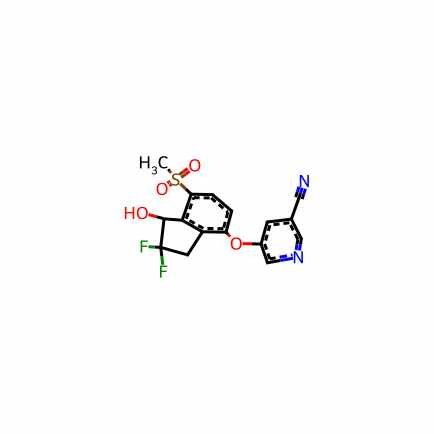 CS(=O)(=O)c1ccc(Oc2cncc(C#N)c2)c2c1C(O)C(F)(F)C2